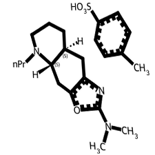 CCCN1CCC[C@H]2Cc3nc(N(C)C)oc3C[C@@H]21.Cc1ccc(S(=O)(=O)O)cc1